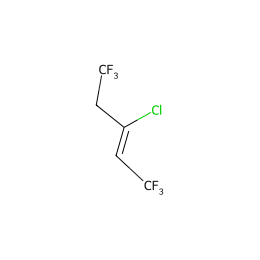 FC(F)(F)C=C(Cl)CC(F)(F)F